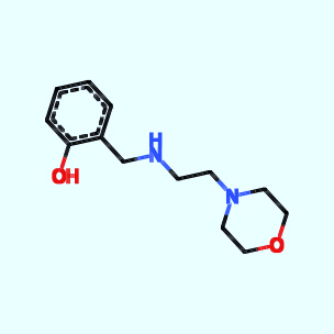 Oc1ccccc1CNCCN1CCOCC1